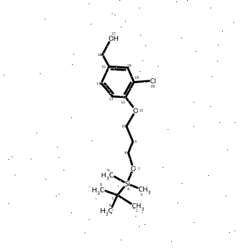 CC(C)(C)[Si](C)(C)OCCCOc1ccc(CO)cc1Cl